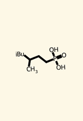 CCC(C)C(C)CCP(=O)(O)O